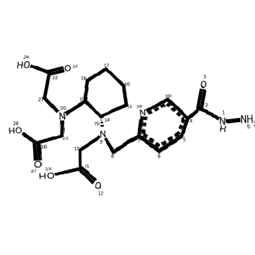 NNC(=O)c1ccc(CN(CC(=O)O)[C@H]2CCCCC2N(CC(=O)O)CC(=O)O)nc1